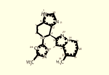 Cc1nnc(N2CCc3[nH]cnc3[C@H]2c2cc3c(C)cccn3n2)o1